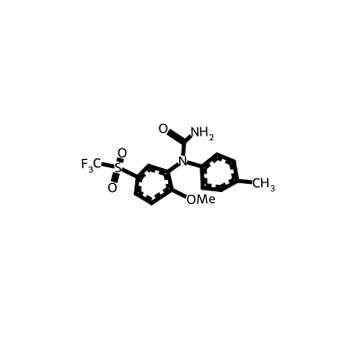 COc1ccc(S(=O)(=O)C(F)(F)F)cc1N(C(N)=O)c1ccc(C)cc1